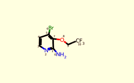 Nc1nccc(Br)c1OCC(F)(F)F